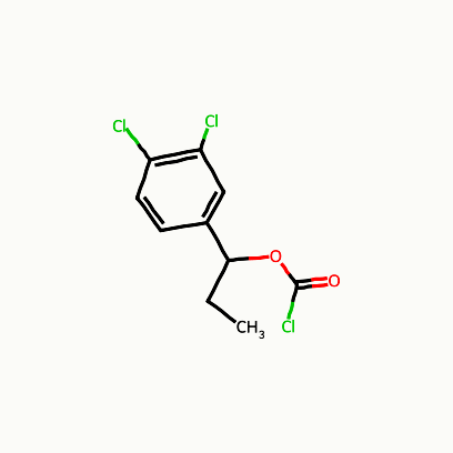 CCC(OC(=O)Cl)c1ccc(Cl)c(Cl)c1